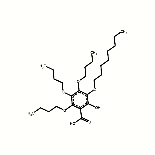 CCCCCCCCOc1c(O)c(C(=O)O)c(OCCCC)c(OCCCC)c1OCCCC